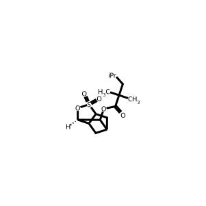 CC(C)CC(C)(C)C(=O)OC1C2CC3C(C2)S(=O)(=O)O[C@H]31